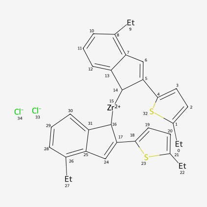 CCc1ccc(C2=Cc3c(CC)cccc3[CH]2[Zr+2][CH]2C(c3ccc(CC)s3)=Cc3c(CC)cccc32)s1.[Cl-].[Cl-]